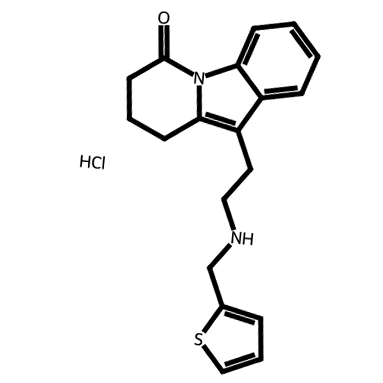 Cl.O=C1CCCc2c(CCNCc3cccs3)c3ccccc3n21